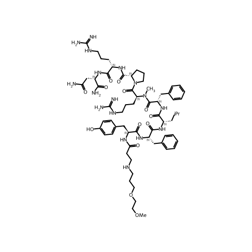 COCCOCCCNCCC(=O)N[C@@H](Cc1ccc(O)cc1)C(=O)N[C@@H](Cc1ccccc1)C(=O)N[C@@H](CC(C)C)C(=O)N[C@@H](Cc1ccccc1)C(=O)N(C)[C@@H](CCCNC(=N)N)C(=O)N1CCC[C@H]1C(=O)N[C@@H](CCCNC(=N)N)C(=O)N[C@@H](CC(N)=O)C(N)=O